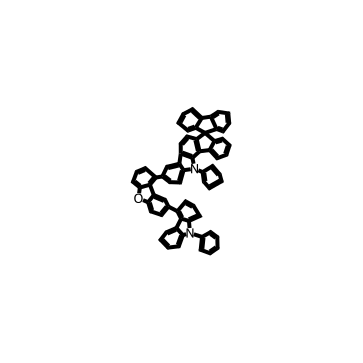 c1ccc(-n2c3ccccc3c3c(-c4ccc5oc6cccc(-c7ccc8c(c7)c7ccc9c(c7n8-c7ccccc7)-c7ccccc7C97c8ccccc8-c8ccccc87)c6c5c4)cccc32)cc1